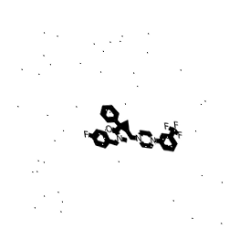 CN(Cc1ccc(F)cc1)C(=O)C1(c2ccccc2)CC1CN1CCN(c2cccc(C(F)(F)F)c2)CC1